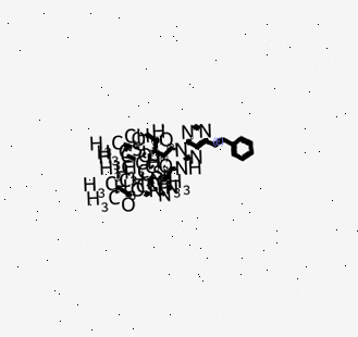 CC(C)(C)C(=O)OCn1nnc(CNc2nc3c(/C=C/c4ccccc4)ncnc3n2[C@@H]2O[C@@H]3CO[Si](C(C)(C)C)(C(C)(C)C)O[C@H]3[C@H]2O[Si](C)(C)C(C)(C)C)n1